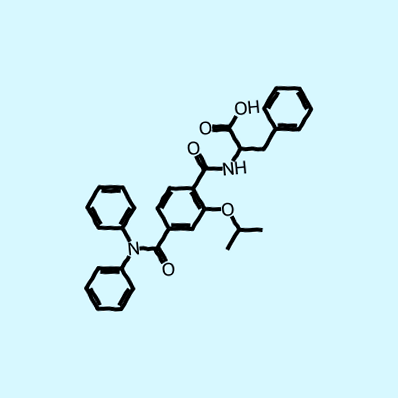 CC(C)Oc1cc(C(=O)N(c2ccccc2)c2ccccc2)ccc1C(=O)NC(Cc1ccccc1)C(=O)O